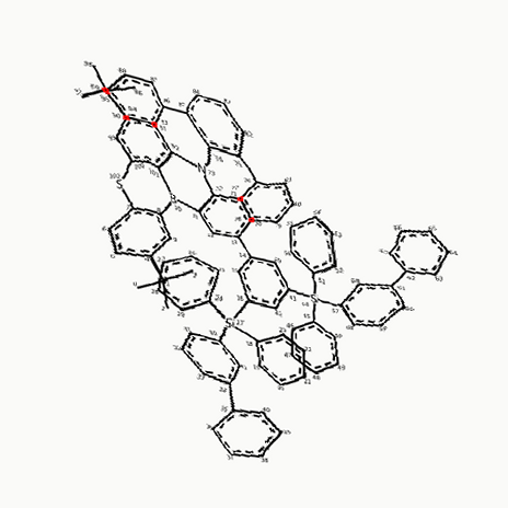 CC(C)(C)c1ccc2c(c1)B1c3cc(-c4cc([Si](c5ccccc5)(c5ccccc5)c5cccc(-c6ccccc6)c5)cc([Si](c5ccccc5)(c5ccccc5)c5cccc(-c6ccccc6)c5)c4)ccc3N(c3c(-c4ccccc4)cccc3-c3ccccc3)c3cc(C(C)(C)C)cc(c31)S2